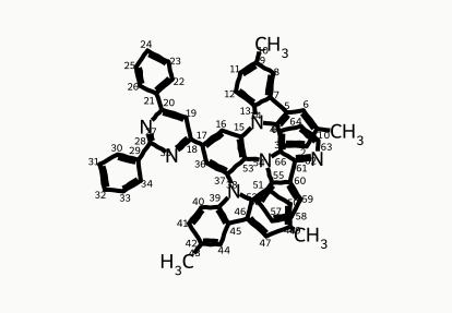 Cc1ccc2c(c1)c1cc(C)ccc1n2-c1cc(-c2cc(-c3ccccc3)nc(-c3ccccc3)n2)cc(-n2c3ccc(C)cc3c3cc(C)ccc32)c1-n1c2ccccc2c2ncccc21